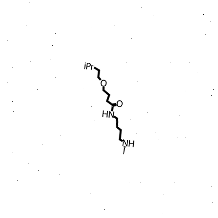 CC(C)CCOCCCC(=O)NCCCCNI